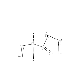 C=CC(I)(I)c1ccc[te]1